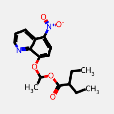 CCC(CC)C(=O)OC(C)Oc1ccc([N+](=O)[O-])c2cccnc12